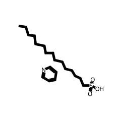 CCCCCCCCCCCCCCCS(=O)(=O)O.c1ccncc1